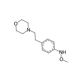 CONc1ccc(CCN2CCOCC2)cc1